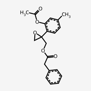 CC(=O)Oc1cc(C)ccc1C1(COC(=O)Cc2ccccc2)CO1